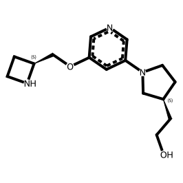 OCC[C@@H]1CCN(c2cncc(OC[C@@H]3CCN3)c2)C1